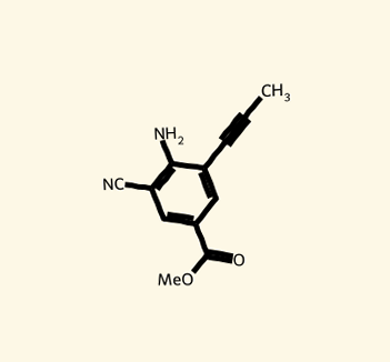 CC#Cc1cc(C(=O)OC)cc(C#N)c1N